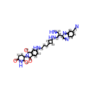 N#Cc1ccc2ncc(/C(C=N)=C/NC3CC(CCCNc4ccc5c(c4)C(=O)N(C4CCC(=O)NC4=O)C5=O)C3)nc2c1